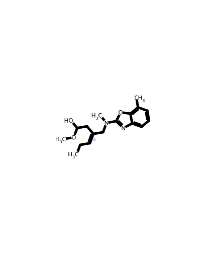 CC/C=C(\CC(O)OC)CN(C)c1nc2cccc(C)c2o1